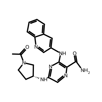 CC(=O)N1CC[C@@H](Nc2cnc(C(N)=O)c(Nc3cnc4ccccc4c3)n2)C1